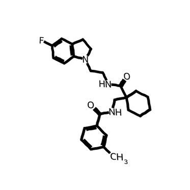 Cc1cccc(C(=O)NCC2(C(=O)NCCN3CCc4cc(F)ccc43)CCCCC2)c1